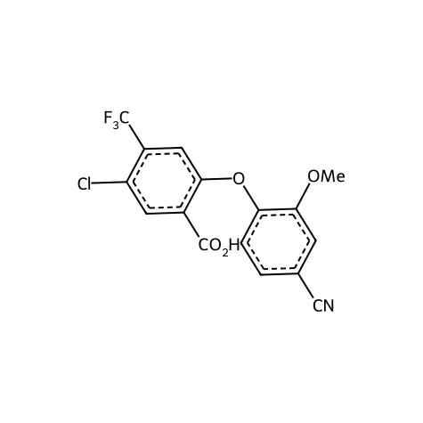 COc1cc(C#N)ccc1Oc1cc(C(F)(F)F)c(Cl)cc1C(=O)O